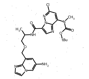 CC(COCc1cc(N)cn2ccnc12)NC(=O)c1cnc2c(N(C)C(=O)OC(C)(C)C)cc(Cl)nn12